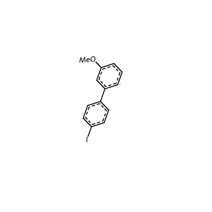 COc1cc[c]c(-c2ccc(I)cc2)c1